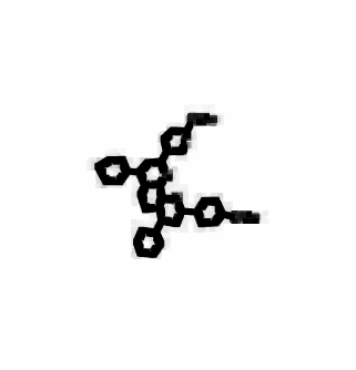 COc1ccc(-c2cc(-c3ccccc3)c3ccc4c(-c5ccccc5)cc(-c5ccc(OC)cc5)nc4c3n2)cc1